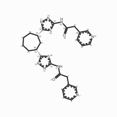 O=C(Cc1cccnc1)Nc1nnc([C@@H]2CCCC[C@H](c3nnc(NC(=O)Cc4cccnc4)s3)C2)s1